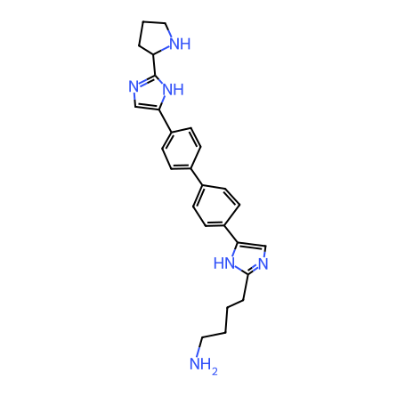 NCCCCc1ncc(-c2ccc(-c3ccc(-c4cnc(C5CCCN5)[nH]4)cc3)cc2)[nH]1